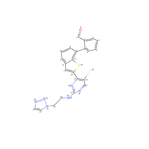 O=Cc1ccccc1-c1cccc2cc(-c3nc(NCCn4ccnn4)ncc3F)sc12